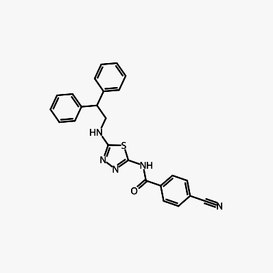 N#Cc1ccc(C(=O)Nc2nnc(NCC(c3ccccc3)c3ccccc3)s2)cc1